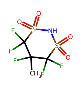 CC1(F)C(F)(F)S(=O)(=O)NS(=O)(=O)C1(F)F